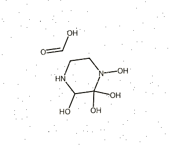 O=CO.OC1NCCN(O)C1(O)O